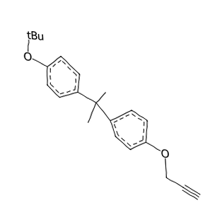 C#CCOc1ccc(C(C)(C)c2ccc(OC(C)(C)C)cc2)cc1